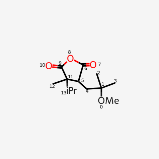 COC(C)(C)CC1C(=O)OC(=O)C1(C)C(C)C